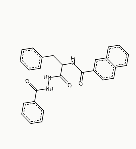 O=C(NNC(=O)C(Cc1ccccc1)NC(=O)c1ccc2ccccc2c1)c1ccccc1